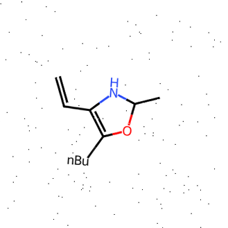 C=CC1=C(CCCC)OC(C)N1